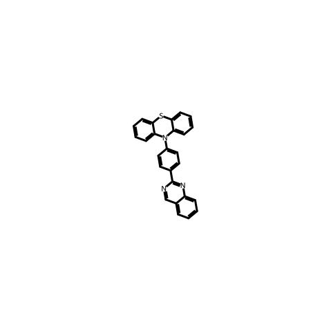 c1ccc2c(c1)Sc1ccccc1N2c1ccc(-c2ncc3ccccc3n2)cc1